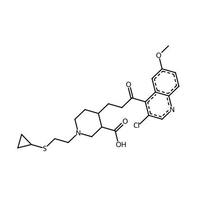 COc1ccc2ncc(Cl)c(C(=O)CCC3CCN(CCSC4CC4)CC3C(=O)O)c2c1